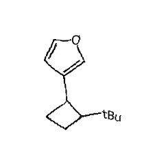 CC(C)(C)C1CCC1c1ccoc1